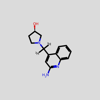 [2H]C([2H])(c1cc(N)nc2ccccc12)N1CC[C@@H](O)C1